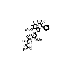 CCC(C)C(C(CC(=O)N1CCCC1C(OC)C(C)C(=O)N[C@@H](CCc1ccccc1)C(=O)O)OC)N(C)C(=O)[C@@H](NC(=O)C(C(C)C)N(C)C)C(C)C